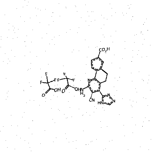 N#Cc1c(N)nc2c(c1-c1nnc[nH]1)CCc1cc(C(=O)O)ccc1-2.O=C(O)C(F)(F)F.O=C(O)C(F)(F)F